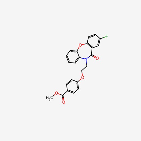 COC(=O)c1ccc(OCCN2C(=O)c3cc(F)ccc3Oc3ccccc32)cc1